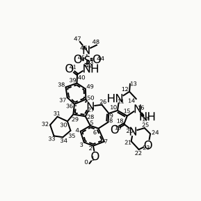 COc1ccc2c(c1)C=C(/C(NC(C)C)=C(/N=N)C(=O)N1CCOCC1)Cn1c-2c(C2CCCCC2)c2ccc(C(=O)NS(=O)(=O)N(C)C)cc21